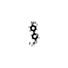 Nc1ccc(-c2ccc(OC(F)(F)F)cn2)cc1